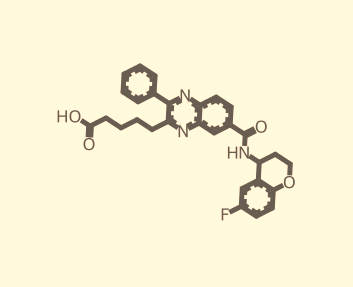 O=C(O)CCCCc1nc2cc(C(=O)NC3CCOc4ccc(F)cc43)ccc2nc1-c1ccccc1